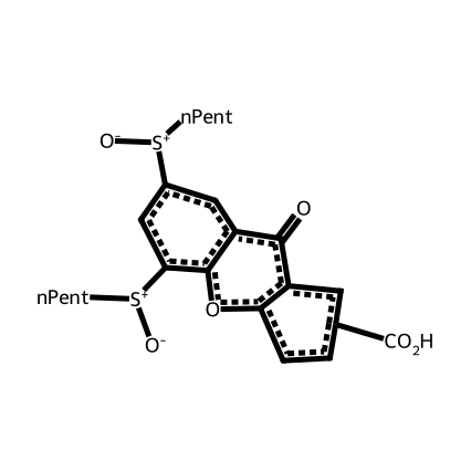 CCCCC[S+]([O-])c1cc([S+]([O-])CCCCC)c2oc3ccc(C(=O)O)cc3c(=O)c2c1